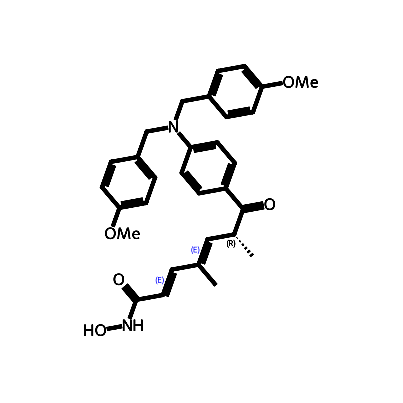 COc1ccc(CN(Cc2ccc(OC)cc2)c2ccc(C(=O)[C@H](C)/C=C(C)/C=C/C(=O)NO)cc2)cc1